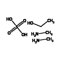 CCO.CN.CN.O=S(=O)(O)O